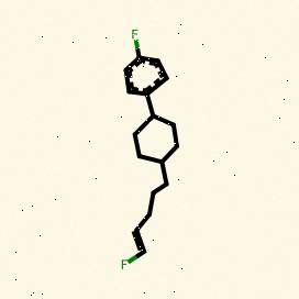 F/C=C/CCCC1CCC(c2ccc(F)cc2)CC1